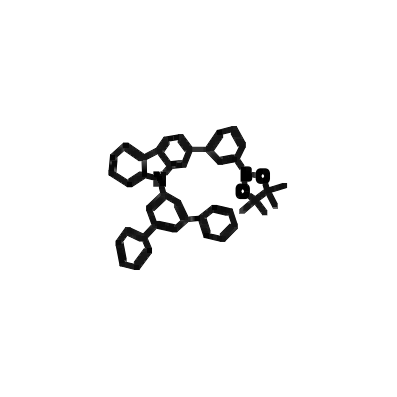 CC1(C)OB(c2cccc(-c3ccc4c5ccccc5n(-c5cc(-c6ccccc6)cc(-c6ccccc6)c5)c4c3)c2)OC1(C)C